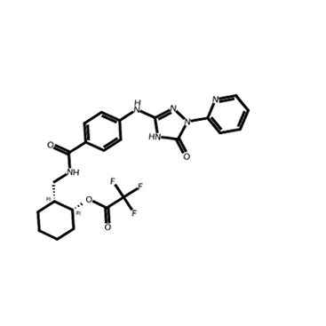 O=C(NC[C@H]1CCCC[C@H]1OC(=O)C(F)(F)F)c1ccc(Nc2nn(-c3ccccn3)c(=O)[nH]2)cc1